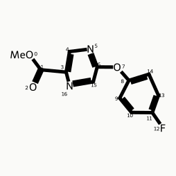 COC(=O)c1cnc(Oc2ccc(F)cc2)cn1